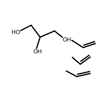 C=CC.C=CC.C=CC.OCC(O)CO